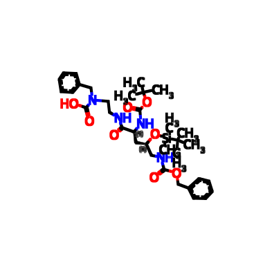 CC(C)(C)OC(=O)N[C@@H](C[C@H](CNC(=O)OCc1ccccc1)O[Si](C)(C)C(C)(C)C)C(=O)NCCN(Cc1ccccc1)C(=O)O